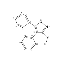 CCc1noc(-c2ccccc2)c1-c1ccccc1